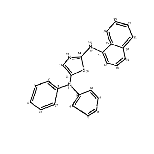 c1ccc(N(c2ccccc2)c2cnc(Nc3cccc4ccccc34)s2)cc1